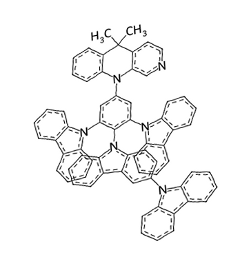 CC1(C)c2ccccc2N(c2cc(-n3c4ccccc4c4ccccc43)c(-n3c4ccccc4c4cc(-n5c6ccccc6c6ccccc65)ccc43)c(-n3c4ccccc4c4ccccc43)c2)c2cnccc21